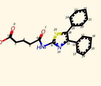 O=C(O)CCCC(=O)Nc1nc(-c2ccccc2)c(-c2ccccc2)s1